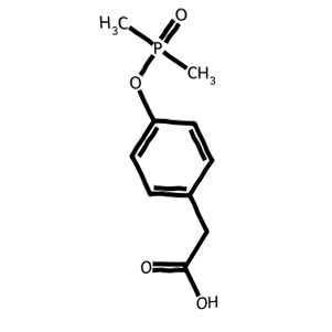 CP(C)(=O)Oc1ccc(CC(=O)O)cc1